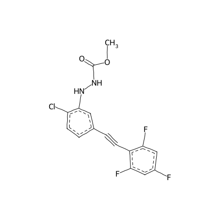 COC(=O)NNc1cc(C#Cc2c(F)cc(F)cc2F)ccc1Cl